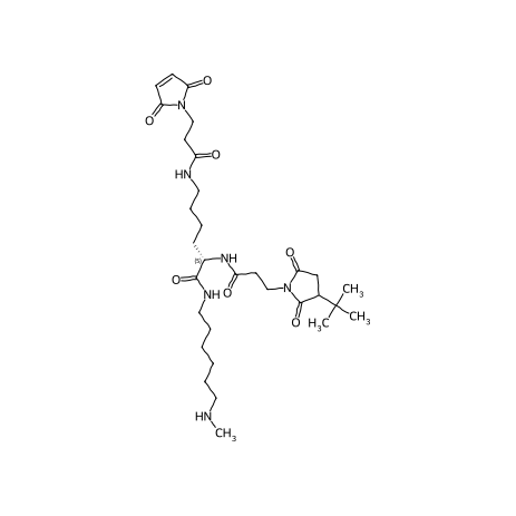 CNCCCCCCNC(=O)[C@H](CCCCNC(=O)CCN1C(=O)C=CC1=O)NC(=O)CCN1C(=O)CC(C(C)(C)C)C1=O